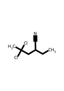 CCC(C#N)CC(C)(Cl)Cl